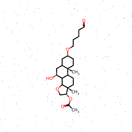 CC(=O)O[C@H]1COC2C3C(CC[C@@]21C)[C@@]1(C)CC[C@H](OCCCCC=O)CC1C[C@@H]3O